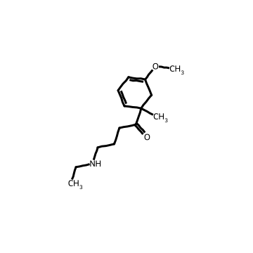 CCNCCCC(=O)C1(C)C=CC=C(OC)C1